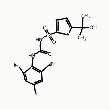 CC(C)c1cc(F)cc(C(C)C)c1NC(=O)NS(=O)(=O)c1ccc(C(C)(C)O)s1